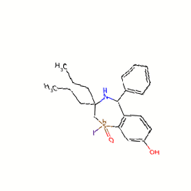 CCCC1(CCC)C[SH](=O)(I)c2cc(O)ccc2C(c2ccccc2)N1